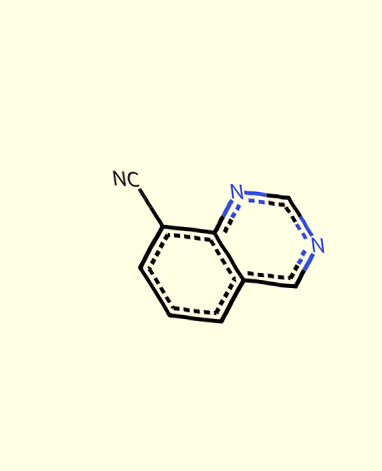 N#Cc1cccc2cncnc12